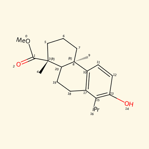 COC(=O)[C@]1(C)CCC[C@@]2(C)c3ccc(O)c(C(C)C)c3CCC12